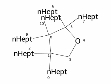 CCCCCCCC1(CCCCCCC)COC(CCCCCCC)(CCCCCCC)C1(CCCCCCC)CCCCCCC